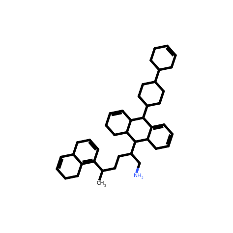 CC(CCC(CN)C1C2CC=CC=C2C(C2CCC(C3CC=CCC3)CC2)C2C=CCCC21)C1=C2CCC=CC2CC=C1